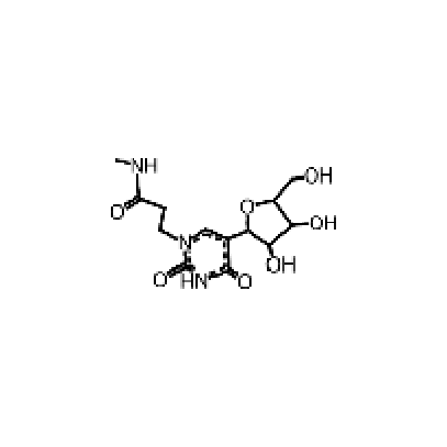 CNC(=O)CCn1cc(C2OC(CO)C(O)C2O)c(=O)[nH]c1=O